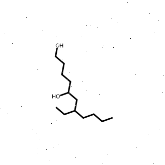 CCCCC(CC)CC(O)CCCCO